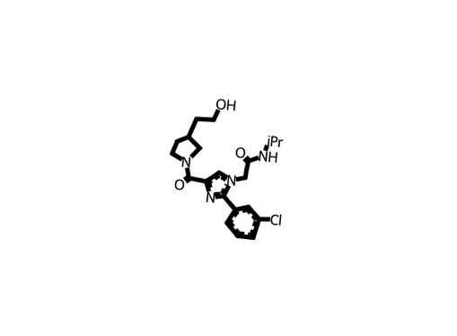 CC(C)NC(=O)Cn1cc(C(=O)N2CCC(CCO)C2)nc1-c1cccc(Cl)c1